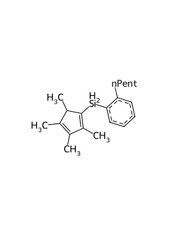 CCCCCc1ccccc1[SiH2]C1=C(C)C(C)=C(C)C1C